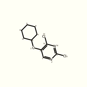 Clc1ncc(OC2CCCCC2)c(Cl)n1